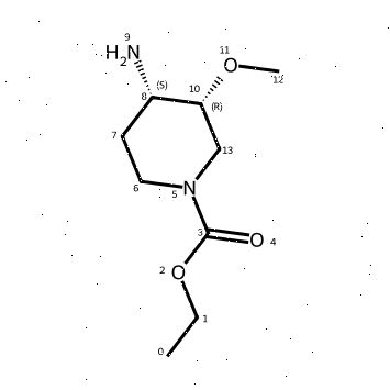 CCOC(=O)N1CC[C@H](N)[C@H](OC)C1